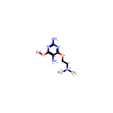 CCOc1nc(N)nc(OCCN(C)C)c1N